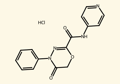 Cl.O=C(Nc1ccncc1)C1=NN(c2ccccc2)C(=O)CO1